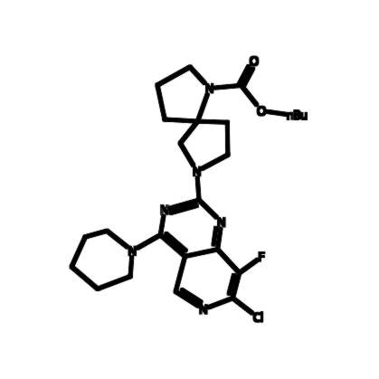 CCCCOC(=O)N1CCCC12CCN(c1nc(N3CCCCC3)c3cnc(Cl)c(F)c3n1)C2